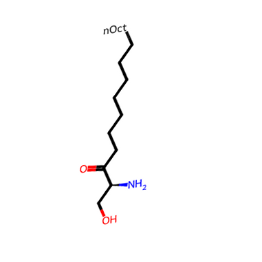 CCCCCCCCCCCCCCCC(=O)[C@@H](N)CO